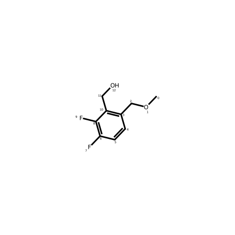 COCc1ccc(F)c(F)c1CO